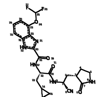 N#C[C@H](C[C@@H]1CCNC1=O)NC(=O)[C@H](CC1CC1)NC(=O)c1nc2c(OC(F)F)cccc2[nH]1